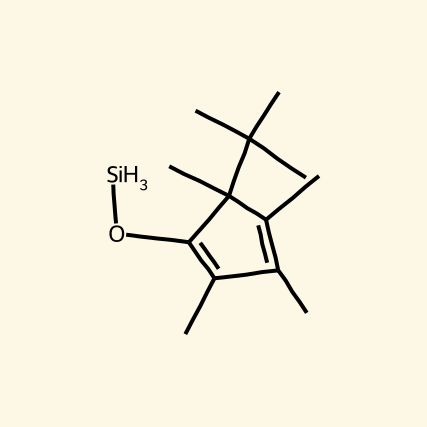 CC1=C(C)C(C)(C(C)(C)C)C(O[SiH3])=C1C